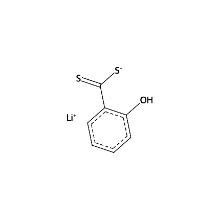 Oc1ccccc1C(=S)[S-].[Li+]